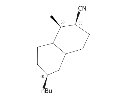 CCCC[C@H]1CCC2C(CC[C@H](C#N)[C@@H]2C)C1